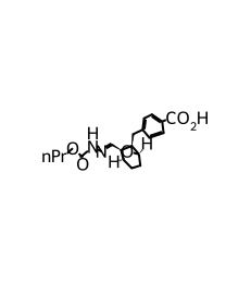 CCCOC(=O)NN=C[C@H]1[C@@H](Cc2ccc(C(=O)O)cc2)[C@H]2CC[C@@H]1O2